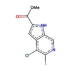 COC(=O)c1cc2c(Cl)c(C)ncc2[nH]1